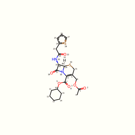 CC(=O)OCC1=C(C(=O)OC2CCCCC2)N2C(=O)[C@@H](NC(=O)Cc3cccs3)[C@H]2SC1